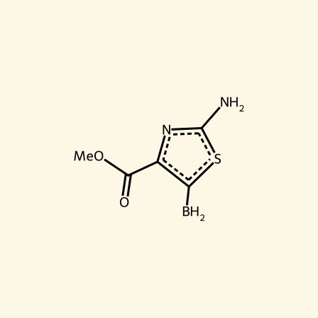 Bc1sc(N)nc1C(=O)OC